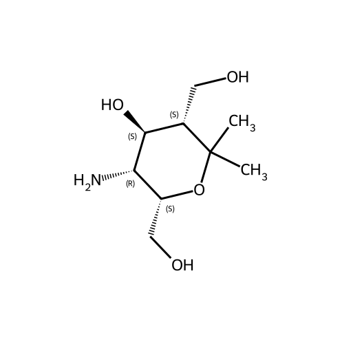 CC1(C)O[C@H](CO)[C@H](N)[C@@H](O)[C@@H]1CO